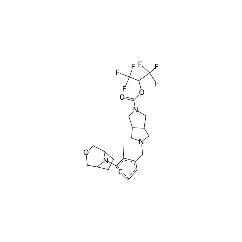 Cc1c(CN2CC3CN(C(=O)OC(C(F)(F)F)C(F)(F)F)CC3C2)cccc1N1C2CCC1COC2